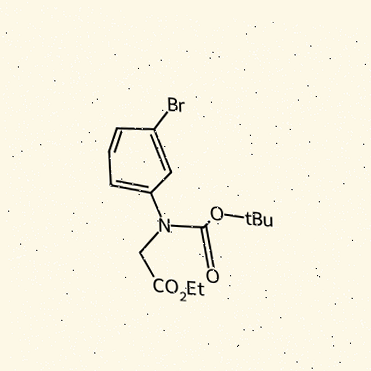 CCOC(=O)CN(C(=O)OC(C)(C)C)c1cccc(Br)c1